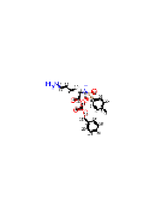 Cc1ccc(S(=O)(=O)N[C@@H](CCCCN)C(=O)OC(=O)OCc2ccccc2)cc1